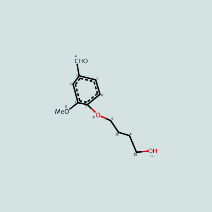 COc1cc(C=O)ccc1OCCCCO